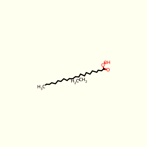 C=C.CCCCCCCCCCCCCCCCCCCCCC(=O)OO